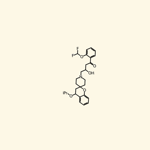 CC(C)OC1CC2(CCN(CC(O)CC(=O)c3ccccc3OC(F)F)CC2)Oc2ccccc21